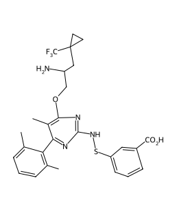 Cc1cccc(C)c1-c1nc(NSc2cccc(C(=O)O)c2)nc(OCC(N)CC2(C(F)(F)F)CC2)c1C